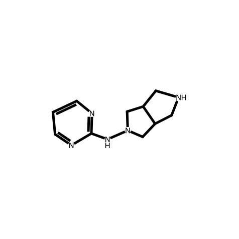 c1cnc(NN2CC3CNCC3C2)nc1